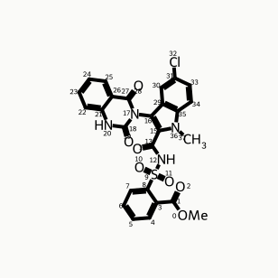 COC(=O)c1ccccc1S(=O)(=O)NC(=O)c1c(-n2c(=O)[nH]c3ccccc3c2=O)c2cc(Cl)ccc2n1C